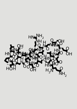 CC(C)C[C@H](NC(=O)[C@H](CCCNC(=N)N)NC(=O)CNC(=O)CNC(=O)[C@H](CO)NC(=O)[C@H](CCC(=O)O)NC(=O)[C@H](CCC(=O)O)NC(=O)[C@@H](NC(=O)[C@H](CO)NC(=O)[C@@H](N)CCC(N)=O)C(C)C)C(=O)N[C@H](C(=O)N[C@H](C(=O)N1CCC[C@H]1C(=O)NCC(=O)N[C@H](C(=O)N1CCC[C@H]1C(=O)N[C@@H](CC(C)C)C(=O)N[C@H](C(=O)N[C@@H](CC(C)C)C(=O)N[C@H](C(=O)O)[C@@H](C)O)[C@@H](C)O)[C@@H](C)O)[C@@H](C)O)C(C)C